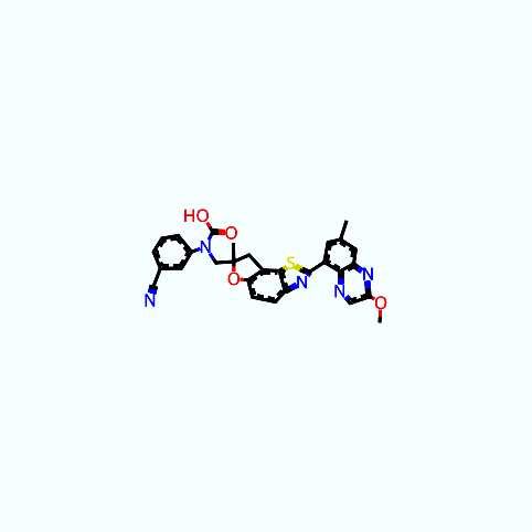 COc1cnc2c(-c3nc4ccc5c(c4s3)CC(C)(CN(C(=O)O)c3cccc(C#N)c3)O5)cc(C)cc2n1